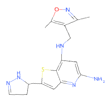 Cc1noc(C)c1CNc1cc(N)nc2cc(C3CC=NN3)sc12